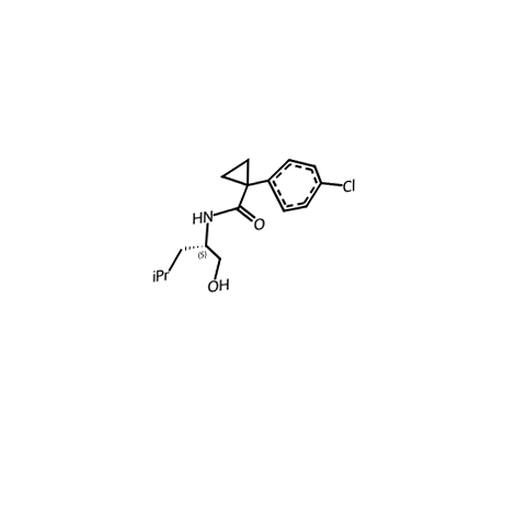 CC(C)C[C@@H](CO)NC(=O)C1(c2ccc(Cl)cc2)CC1